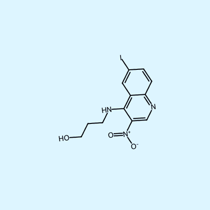 O=[N+]([O-])c1cnc2ccc(I)cc2c1NCCCO